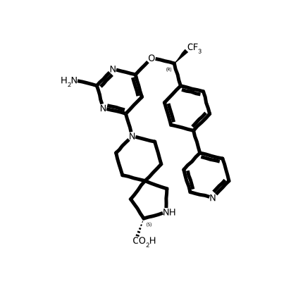 Nc1nc(O[C@H](c2ccc(-c3ccncc3)cc2)C(F)(F)F)cc(N2CCC3(CC2)CN[C@H](C(=O)O)C3)n1